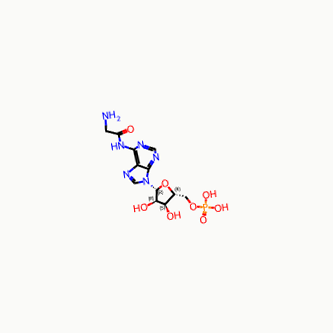 NCC(=O)Nc1ncnc2c1ncn2[C@@H]1O[C@H](COP(=O)(O)O)[C@@H](O)[C@H]1O